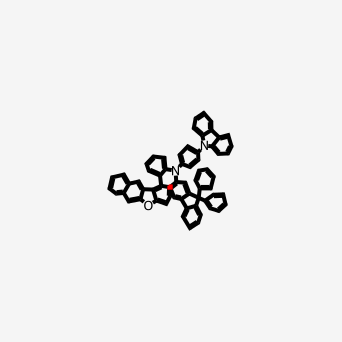 c1ccc(C2(c3ccccc3)c3ccccc3-c3ccc(N(c4ccc(-n5c6ccccc6c6ccccc65)cc4)c4ccccc4-c4cccc5oc6cc7ccccc7cc6c45)cc32)cc1